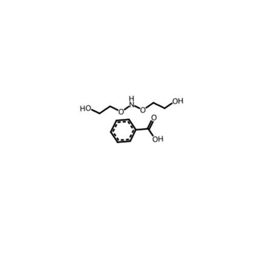 O=C(O)c1ccccc1.OCCONOCCO